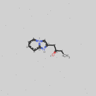 CCC(=O)Cc1cn2ccccc2n1